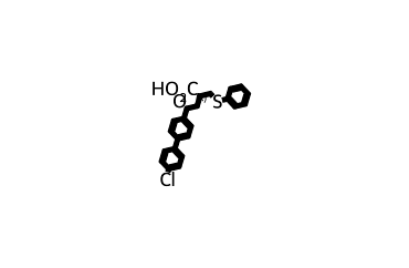 O=C(C[C@@H](CSc1ccccc1)C(=O)O)c1ccc(-c2ccc(Cl)cc2)cc1